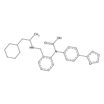 CC(CC1CCCCC1)NCc1ccccc1N(C(=O)O)c1ccc(-c2ccco2)cc1